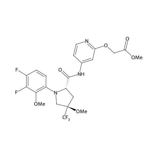 COC(=O)COc1cc(NC(=O)[C@@H]2C[C@](OC)(C(F)(F)F)CN2c2ccc(F)c(F)c2OC)ccn1